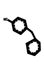 N#Cc1ccc(Cc2[c]cccc2)cc1